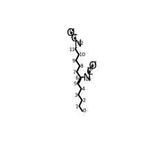 CCCCCC=C(CCCCCN=C=O)N=C=O